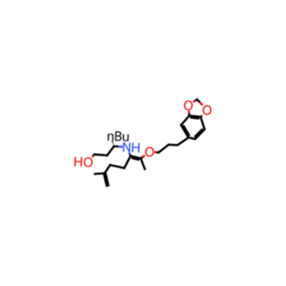 C=C(C)CC/C(N[C@H](CCO)CCCC)=C(\C)OCCCc1ccc2c(c1)OCO2